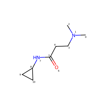 CN(C)CCC(=O)NC1CC1